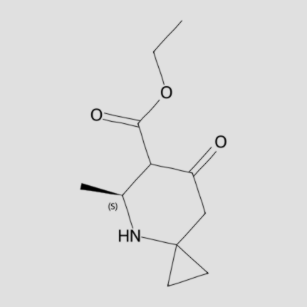 CCOC(=O)C1C(=O)CC2(CC2)N[C@H]1C